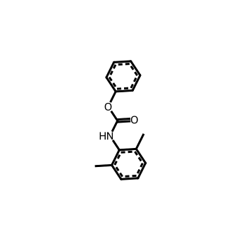 Cc1cccc(C)c1NC(=O)Oc1ccccc1